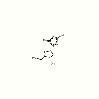 Nc1nc(=O)n([C@@H]2C[C@H](O)[C@@H](CO)O2)s1